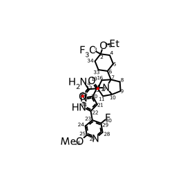 CCOC1(C(F)(F)F)CCC(C23CCC(CC(C(N)=O)C2)N3C(=O)c2cc(-c3cc(OC)ncc3F)[nH]n2)CC1